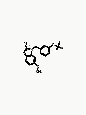 COc1ccc2nc(N)n(Cc3cccc(OC(F)(F)F)c3)c2c1